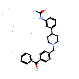 CC(C)C(=O)Nc1cccc(C2CCN(Cc3ccc(C(=O)c4ccccc4)cc3)CC2)c1